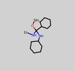 CCNC(NC1CCCCC1)(O[SiH3])C1CCCCC1